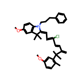 C=C(/C=C/C(Cl)=C/C=C1/N(CCCc2ccccc2)c2ccc(OC)cc2C1(C)C)C(C)(C)c1cc(OC)ccc1C